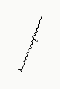 CCCCCCCCCCOC(=O)CCCOCCOCCOCCOCC(C)C